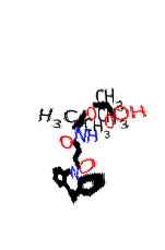 CC(C)(CNC(=O)CCC(=O)N1Cc2ccccc2C2=CC2c2ccccc21)COCC(C)(C)CC(=O)O